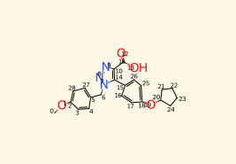 COc1ccc(Cn2nnc(C(=O)O)c2-c2ccc(OC3CCCC3)cc2)cc1